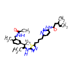 C=CC(=C)CC(=O)Nc1ccc(CCCCc2nnc(NC(=C)C(C)c3ccc(C)c(CNC(C)=O)c3)s2)nn1